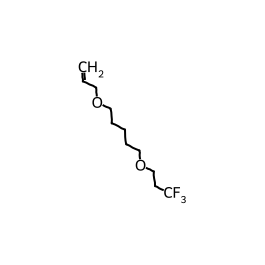 C=CCOCCCCCOCCC(F)(F)F